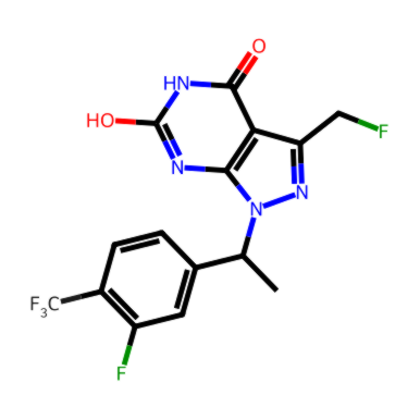 CC(c1ccc(C(F)(F)F)c(F)c1)n1nc(CF)c2c(=O)[nH]c(O)nc21